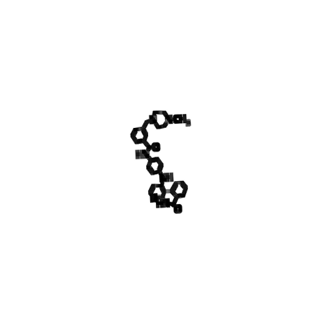 CN1CCN(Cc2cccc(C(=O)Nc3ccc(Nc4ccnc5[nH]c(=O)c6ccccc6c45)cc3)c2)CC1